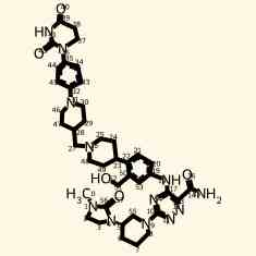 CN1CCN([C@@H]2CCCN(c3nnc(C(N)=O)c(Nc4ccc(C5CCN(CC6CCN(c7ccc(N8CCC(=O)NC8=O)cc7)CC6)CC5)c(CO)c4)n3)C2)C1=O